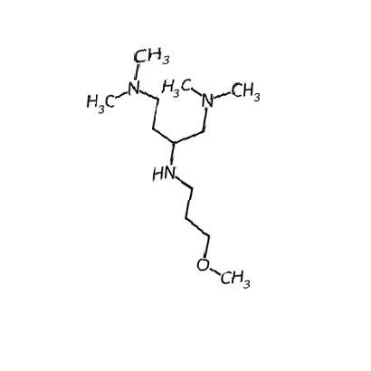 COCCCNC(CCN(C)C)CN(C)C